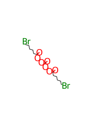 O=C(CCCCCBr)OCOC(=O)OCOC(=O)CCCCCBr